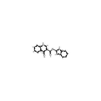 O=C(Sc1nc2ccccc2s1)c1coc2ccccc2c1=O